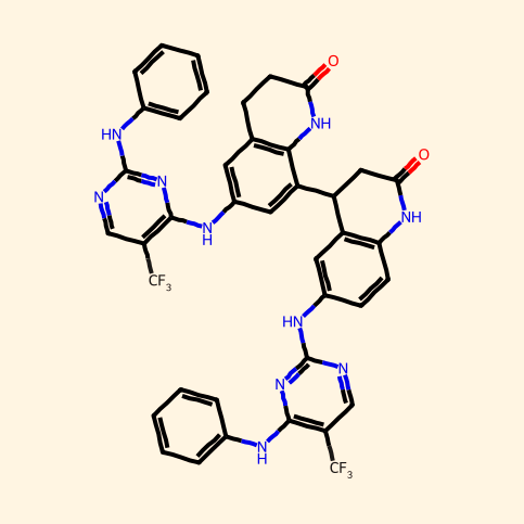 O=C1CC(c2cc(Nc3nc(Nc4ccccc4)ncc3C(F)(F)F)cc3c2NC(=O)CC3)c2cc(Nc3ncc(C(F)(F)F)c(Nc4ccccc4)n3)ccc2N1